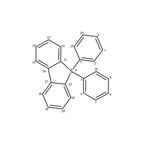 c1ccc(S2(c3ccccc3)c3ccccc3-c3ccccc32)cc1